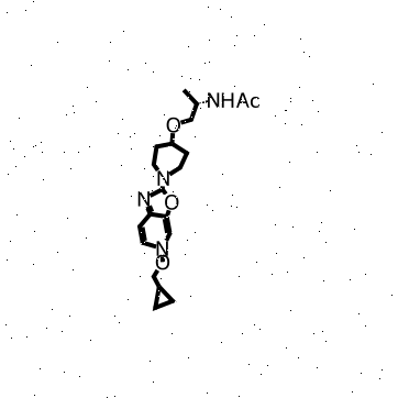 CC(=O)N[C@@H](C)COC1CCN(C2N=C3C=CN(OCC4CC4)C=C3O2)CC1